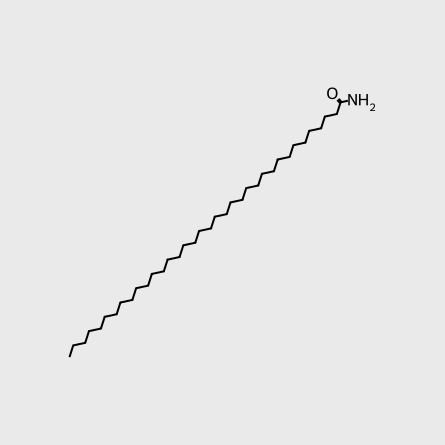 CCCCCCCCCCCCCCCCCCCCCCCCCCCCCCCCCCCC(N)=O